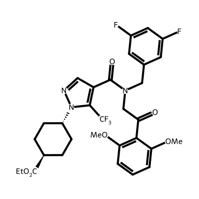 CCOC(=O)[C@H]1CC[C@H](n2ncc(C(=O)N(CC(=O)c3c(OC)cccc3OC)Cc3cc(F)cc(F)c3)c2C(F)(F)F)CC1